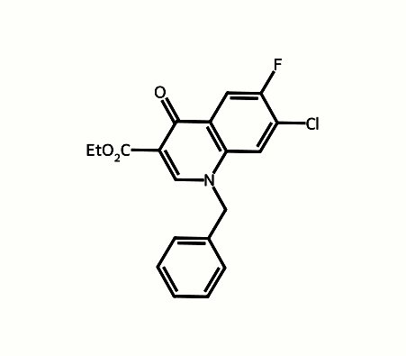 CCOC(=O)c1cn(Cc2ccccc2)c2cc(Cl)c(F)cc2c1=O